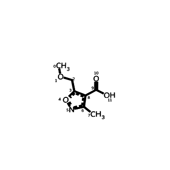 COCc1onc(C)c1C(=O)O